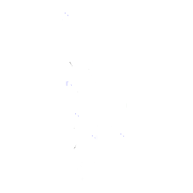 Cl.NCCCC[C@H](NC(=O)CNC(=O)[C@H](Cc1ccccc1)NC(=O)[C@@H]1CCCN1)C(=O)O